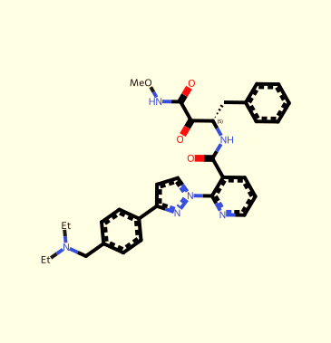 CCN(CC)Cc1ccc(-c2ccn(-c3ncccc3C(=O)N[C@@H](Cc3ccccc3)C(=O)C(=O)NOC)n2)cc1